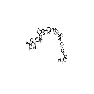 COCCOCCOCCOC(=O)N1CCN(Cc2ccc(-c3cc4nccc(Oc5ccc(NC(=O)NC6CC6)cc5F)c4s3)nc2)CC1